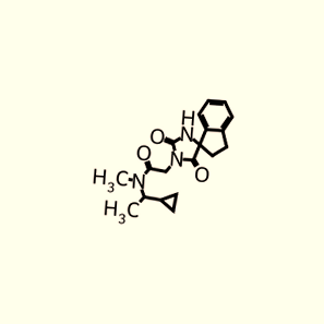 CC(C1CC1)N(C)C(=O)CN1C(=O)NC2(CCc3ccccc32)C1=O